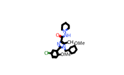 COc1ccc(Cl)cc1-c1nc(C(=O)NN2CCCCC2)c(C)n1CC1CCCC(OC)C1